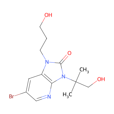 CC(C)(CO)n1c(=O)n(CCCO)c2cc(Br)cnc21